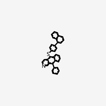 c1ccc(-c2c3ccccc3c(Sc3ccc(-c4cccc5ccccc45)cc3)c3ccncc23)cc1